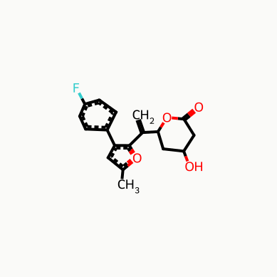 C=C(c1oc(C)cc1-c1ccc(F)cc1)C1CC(O)CC(=O)O1